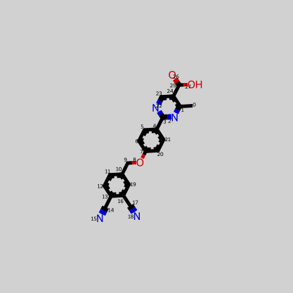 Cc1nc(-c2ccc(OCc3ccc(C#N)c(C#N)c3)cc2)ncc1C(=O)O